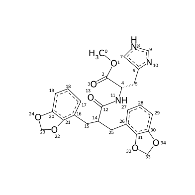 COC(=O)[C@H](Cc1c[nH]cn1)NC(=O)C(Cc1cccc2c1OCO2)Cc1cccc2c1OCO2